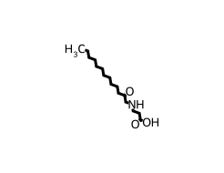 CCCCCCCCCCCC(=O)CNCCC(=O)O